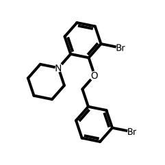 Brc1cccc(COc2c(Br)cccc2N2CCCCC2)c1